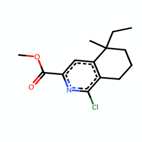 CCC1(C)CCCc2c1cc(C(=O)OC)nc2Cl